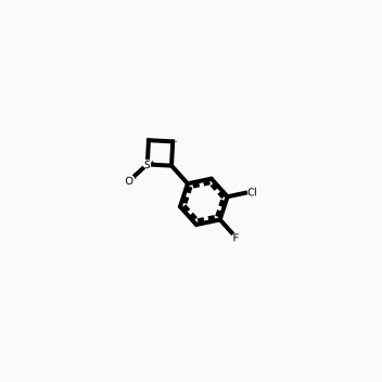 [O-][S+]1C[CH]C1c1ccc(F)c(Cl)c1